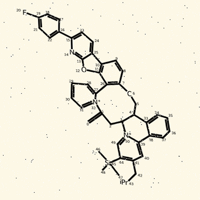 C=C1CC2C(CCc3ccc4c(oc5nc(-c6ccc(F)cc6)ccc54)c3-c3cccc[n+]31)c1ccccc1-c1cc(CC(C)C)c([Si](C)(C)C)c[n+]12